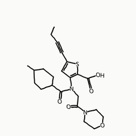 CCC#Cc1cc(N(CC(=O)N2CCOCC2)C(=O)C2CCC(C)CC2)c(C(=O)O)s1